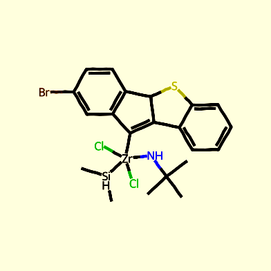 C[SiH](C)[Zr]([Cl])([Cl])([NH]C(C)(C)C)[C]1=C2c3ccccc3SC2c2ccc(Br)cc21